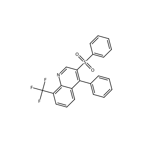 O=S(=O)(c1ccccc1)c1cnc2c(C(F)(F)F)cccc2c1-c1ccccc1